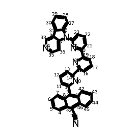 N#Cc1c2ccccc2c(-c2cccc(-c3cccc(-c4cccc(-n5c6ccccc6c6cnccc65)n4)n3)n2)c2ccccc12